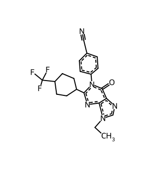 CCn1cnc2c(=O)n(-c3ccc(C#N)cc3)c(C3CCC(C(F)(F)F)CC3)nc21